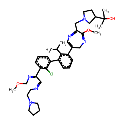 COC/N=C(\C=N/CCN1CCCC1)c1cccc(-c2cccc(C3=CN=C(CN4CCC(C(C)(C)O)C4)C(OC)=NC3)c2C(C)C)c1Cl